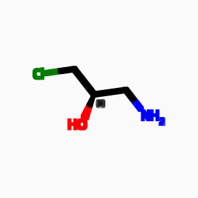 NC[C@@H](O)CCl